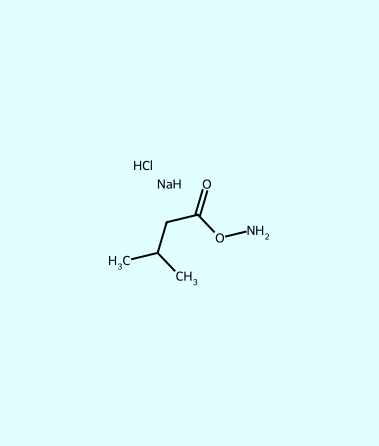 CC(C)CC(=O)ON.Cl.[NaH]